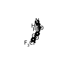 O=C(NCc1ccc(S(=O)(=O)c2ccc(C(F)(F)F)c(F)c2)cc1)c1cc2cnccc2[nH]1